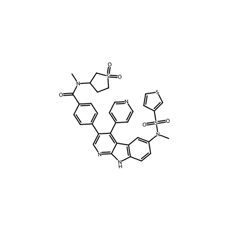 CN(C(=O)c1ccc(-c2cnc3[nH]c4ccc(N(C)S(=O)(=O)c5ccsc5)cc4c3c2-c2ccncc2)cc1)C1CCS(=O)(=O)C1